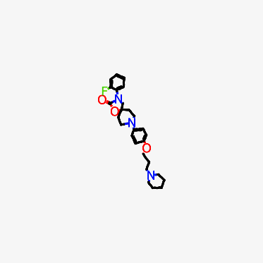 O=C1OC2(CCN(c3ccc(OCCCN4CCCCC4)cc3)CC2)CN1c1ccccc1F